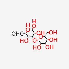 O=C[C@H](O)[C@@H](O)[C@@H](O[C@@H]1O[C@H](CO)[C@@H](O)[C@H](O)[C@H]1O)[C@H](O)CO